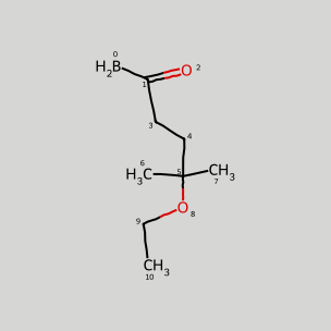 BC(=O)CCC(C)(C)OCC